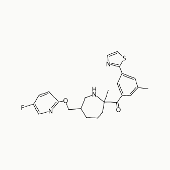 Cc1cc(C(=O)C2(C)CCCC(COc3ccc(F)cn3)CN2)cc(-c2nccs2)c1